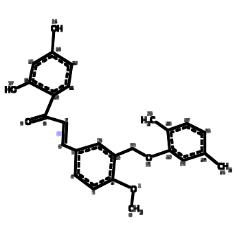 COc1ccc(/C=C/C(=O)c2ccc(O)cc2O)cc1COc1cc(C)ccc1C